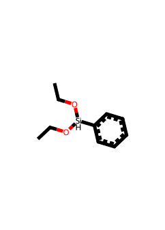 CCO[SiH](OCC)c1ccccc1